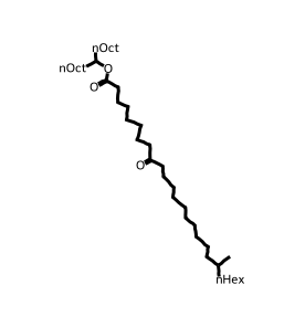 CCCCCCCCC(CCCCCCCC)OC(=O)CCCCCCCC(=O)CCCCCCCCCCC(C)CCCCCC